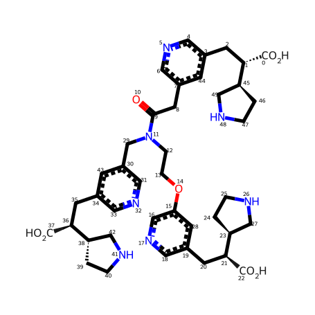 O=C(O)[C@@H](Cc1cncc(CC(=O)N(CCOc2cncc(C[C@H](C(=O)O)[C@H]3CCNC3)c2)Cc2cncc(C[C@H](C(=O)O)[C@H]3CCNC3)c2)c1)[C@H]1CCNC1